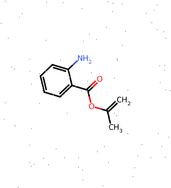 C=C(C)OC(=O)c1ccccc1N